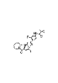 CCc1cc(C(=O)N2CCCCCC2C)nc2cc(-c3ccc(NC(=O)C4(C)CC4)cc3F)nn12